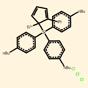 CCCCc1ccc([Si](c2ccc(CCCC)cc2)(c2ccc(CCCC)cc2)[C]2([Ti+3])C=CC=C2C(C)C)cc1.[Cl-].[Cl-].[Cl-]